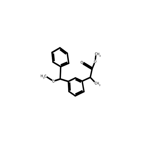 COC(=O)C(C)c1cccc(C(OC)c2ccccc2)c1